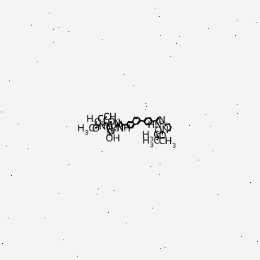 COC(=O)N[C@H](C(=O)N1C[C@@H](O)C[C@H]1c1ncc(-c2ccc3cc(-c4ccc(-c5cnc([C@@H]6CCCN6C(=O)OC(C)(C)C)[nH]5)cc4)ccc3c2)[nH]1)C(C)C